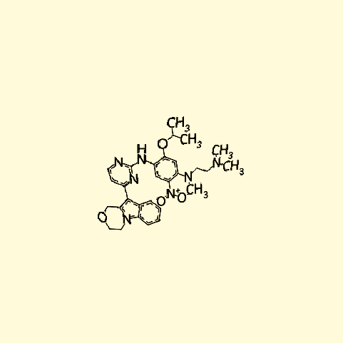 CC(C)Oc1cc(N(C)CCN(C)C)c([N+](=O)[O-])cc1Nc1nccc(-c2c3n(c4ccccc24)CCOC3)n1